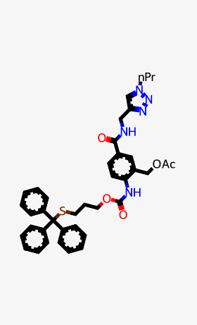 CCCn1cc(CNC(=O)c2ccc(NC(=O)OCCCSC(c3ccccc3)(c3ccccc3)c3ccccc3)c(COC(C)=O)c2)nn1